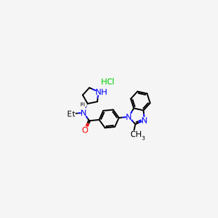 CCN(C(=O)c1ccc(-n2c(C)nc3ccccc32)cc1)[C@@H]1CCNC1.Cl